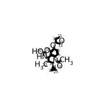 CC(=O)N1c2ccc(OC3CCOC3)cc2[C@H](NC(=O)O)[C@@H](C)[C@@H]1C1CC1